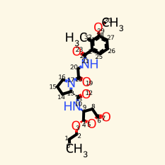 CCCO[C@@H]1OC(=O)C[C@@H]1NC(=O)[C@@H]1CCCN1C(=O)CNC(=O)c1cccc(OC)c1C